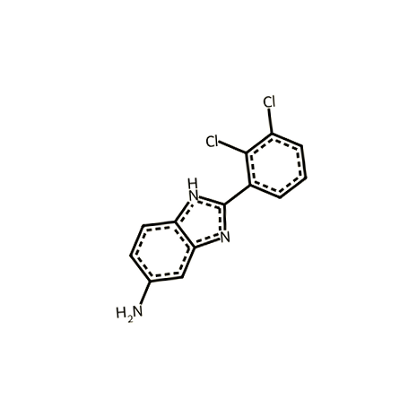 Nc1ccc2[nH]c(-c3cccc(Cl)c3Cl)nc2c1